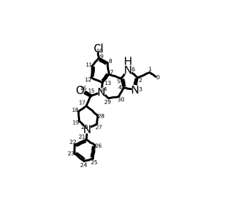 CCc1nc2c([nH]1)-c1cc(Cl)ccc1N(C(=O)C1CCN(c3ccccc3)CC1)CC2